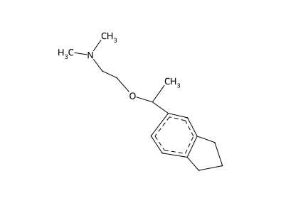 CC(OCCN(C)C)c1ccc2c(c1)CCC2